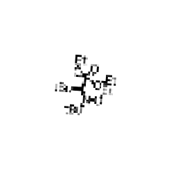 CCON(C(C(C)(C)C)P(=O)(OCC)OCC)C(C)(C)C